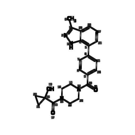 Cc1n[nH]c2c(-c3ccc(C(=O)N4CCN(C(=O)C5(O)CC5)CC4)cc3)cccc12